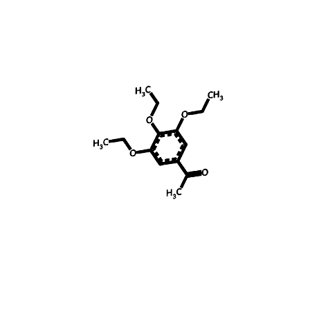 CCOc1cc(C(C)=O)cc(OCC)c1OCC